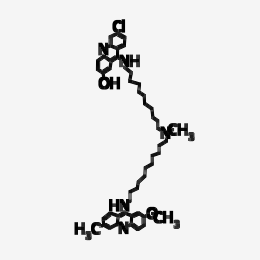 COc1ccc2nc3cc(C)ccc3c(NCCCCCCCCCCCN(C)CCCCCCCCCCCNc3c4ccc(Cl)cc4nc4ccc(O)cc34)c2c1